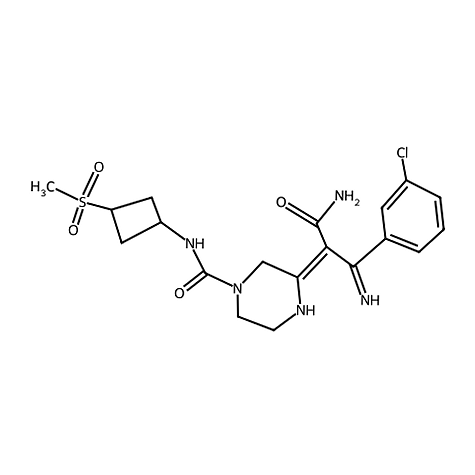 CS(=O)(=O)C1CC(NC(=O)N2CCN/C(=C(\C(=N)c3cccc(Cl)c3)C(N)=O)C2)C1